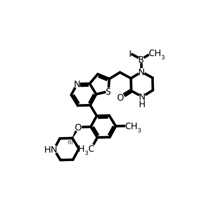 CB(I)N1CCNC(=O)C1Cc1cc2nccc(-c3cc(C)cc(C)c3O[C@H]3CCCNC3)c2s1